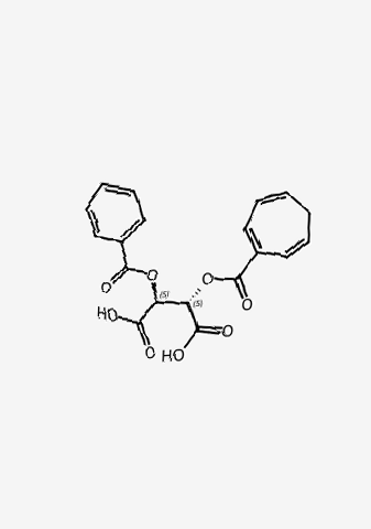 O=C(O[C@H](C(=O)O)[C@H](OC(=O)c1ccccc1)C(=O)O)C1=CC=CCC=C1